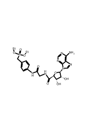 CCOP(=O)(Cc1ccc(NC(=O)CNC(=O)[C@H]2O[C@@H](n3cnc4c(N)ncnc43)[C@H](O)[C@@H]2O)cc1)OCC